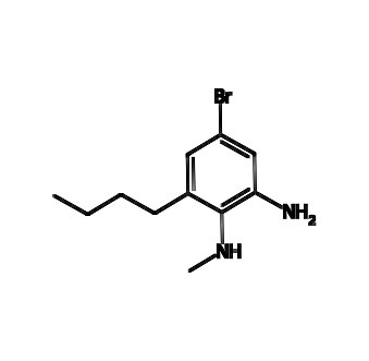 CCCCc1cc(Br)cc(N)c1NC